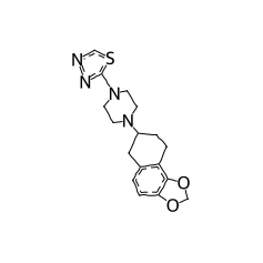 c1nnc(N2CCN(C3CCc4c(ccc5c4OCO5)C3)CC2)s1